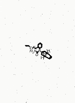 CCO/N=C/c1ccccc1N(C(N)=O)[C@H]1C[C@H]2CC[C@@H](C1)N2C